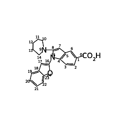 O=C(O)c1ccc2c(c1)cc(N1CCCCC1)n2-c1cc2ccccc2o1